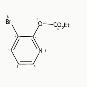 CCOC(=O)Oc1ncccc1Br